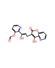 O=COc1cccnc1/C(O)=C/Cc1c(O)c2ncccc2oc1=O